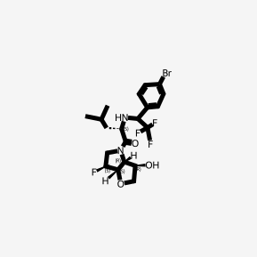 CC(C)C[C@H](NC(c1ccc(Br)cc1)C(F)(F)F)C(=O)N1C[C@H](F)[C@H]2OC[C@H](O)[C@H]21